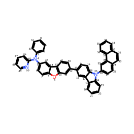 c1ccc(N(c2ccc3oc4cc(-c5ccc6c(c5)c5ccccc5n6-c5ccc6ccc7ccccc7c6c5)ccc4c3c2)c2ccccn2)cc1